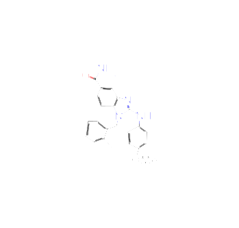 COc1ccc(Nc2nc3cc(C(N)=O)ccc3n2Cc2ccccc2C)cc1